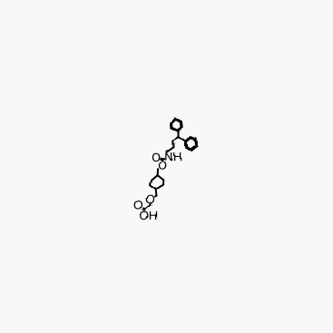 O=C(O)COCC1CCC(COC(=O)NCCCC(c2ccccc2)c2ccccc2)CC1